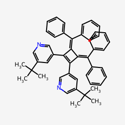 CC(C)(C)c1cncc(C2=C(c3cncc(C(C)(C)C)c3)C(=C(c3ccccc3)c3ccccc3)C2=C(c2ccccc2)c2ccccc2)c1